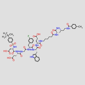 Cc1ccc(C(=O)NCCCC[C@H](NC(=O)CCCCCNC(=O)[C@H](CCC(=O)O)NC(=O)[C@H](Cc2c[nH]c3ccccc23)NC(=O)[C@H](Cc2cccc(F)c2)NC(=O)CNC(=O)[C@H](CCC(=O)O)NC(=O)[C@@H](CC(=O)O)NS(=O)(=O)c2ccc(C(C)(C)C)cc2)C(N)=O)cc1